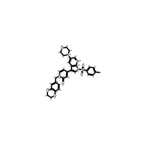 Cc1ccc(S(=O)(=O)n2cc(-c3ccn(Cc4ccc5c(c4)OCCO5)c(=O)c3)c3cc(N4CCOCC4)cnc32)cc1